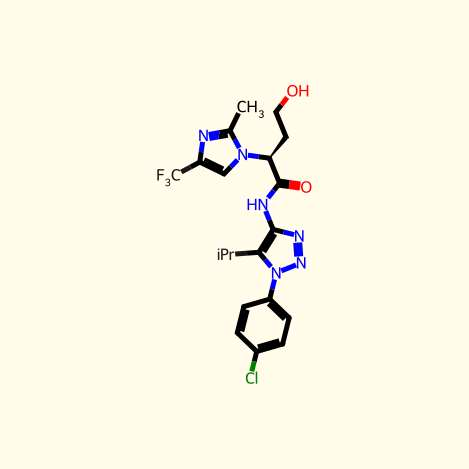 Cc1nc(C(F)(F)F)cn1[C@@H](CCO)C(=O)Nc1nnn(-c2ccc(Cl)cc2)c1C(C)C